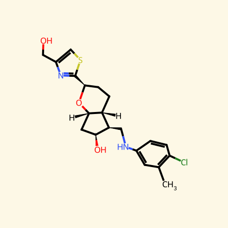 Cc1cc(NC[C@@H]2[C@H]3CC[C@H](c4nc(CO)cs4)O[C@H]3C[C@@H]2O)ccc1Cl